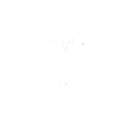 CCCCNC(=O)CCCCCCCC1CC2CC(=O)CC[C@]2(C)[C@@H]2CC[C@]3(C)C(O)CC[C@H]3[C@H]12